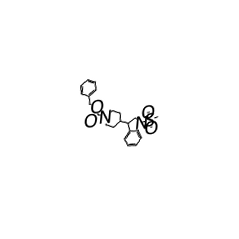 CS(=O)(=O)N1CC(C2CCN(C(=O)OCc3ccccc3)CC2)c2ccccc21